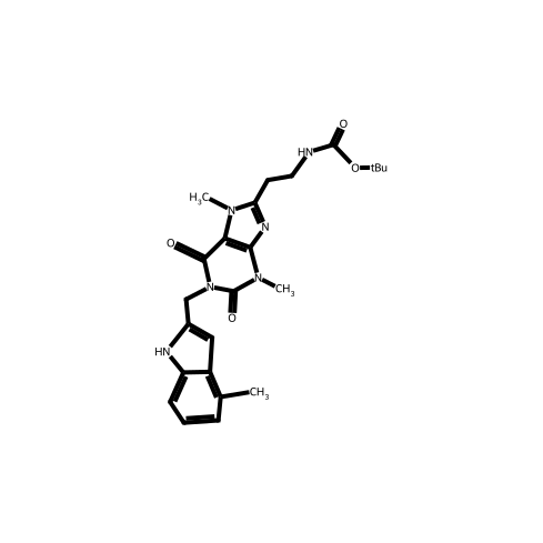 Cc1cccc2[nH]c(Cn3c(=O)c4c(nc(CCNC(=O)OC(C)(C)C)n4C)n(C)c3=O)cc12